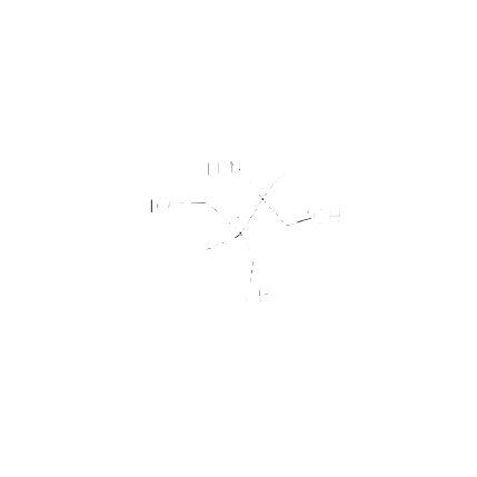 CC(N)(CO)C(C)(CO)CO